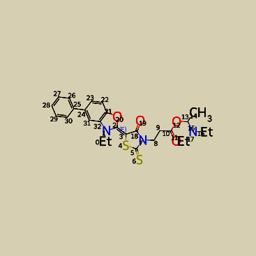 CCN1/C(=C2\SC(=S)N(CCC(=O)OC(C)N(CC)CC)C2=O)Oc2ccc(-c3ccccc3)cc21